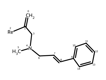 C=[C]([Re])CN(C)CC=Cc1ccccc1